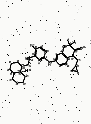 CC1(C)Oc2cc(Nc3ncc(F)c(NC[C@@H]4CCCN5CCCC[C@H]45)n3)cnc2N(CC2CC2)C1=O